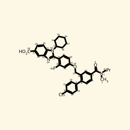 CC(C)N(C)C(=O)c1ccc(-c2ccc(Cl)cc2)c(COc2ccc(-c3nc4cc(C(=O)O)ccc4n3C3CCCCC3)c(F)c2)c1